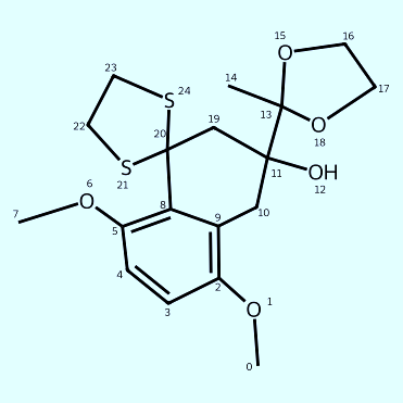 COc1ccc(OC)c2c1CC(O)(C1(C)OCCO1)CC21SCCS1